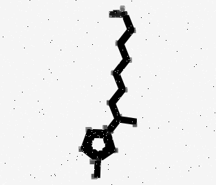 CCCCCCCCCCCCCCCC(C)[n+]1ccn(C)c1